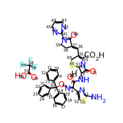 Nc1nc(/C(=N/OC(c2ccccc2)(c2ccccc2)c2ccccc2)C(=O)N[C@@H]2C(=O)N3C(C(=O)O)=C(/C=C4\CCN(c5ncccn5)C4=O)CS[C@H]23)cs1.O=C(O)C(F)(F)F